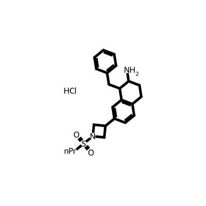 CCCS(=O)(=O)N1CC(c2ccc3c(c2)C(Cc2ccccc2)C(N)CC3)C1.Cl